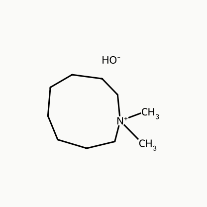 C[N+]1(C)CCCCCCCC1.[OH-]